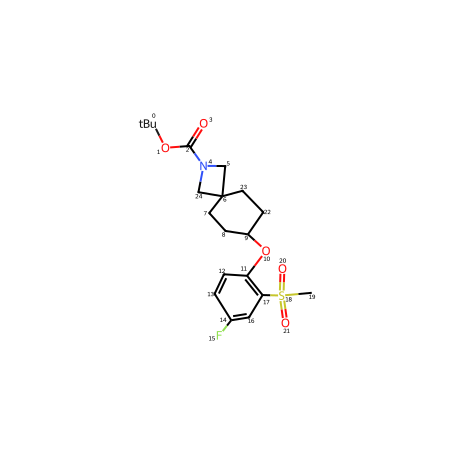 CC(C)(C)OC(=O)N1CC2(CCC(Oc3ccc(F)cc3S(C)(=O)=O)CC2)C1